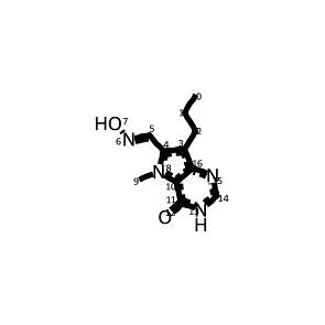 CCCc1c(C=NO)n(C)c2c(=O)[nH]cnc12